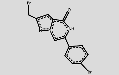 O=c1[nH]c(-c2ccc(Br)cc2)cn2nc(CBr)cc12